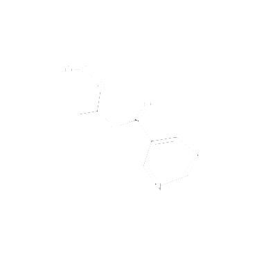 CC(OC=O)OC(=O)c1cccnc1